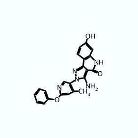 Cc1cc(Oc2ccccc2)ncc1-n1nc2c(c1N)c(=O)[nH]c1cc(O)ccc12